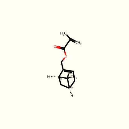 C=C(C)C(=O)OCC1=CC[C@H]2C[C@@H]1C2(C)C